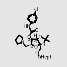 CCCCCCCOC[C@@]12O[C@@H](CN3CCCC3)[C@@H](OC(=O)Nc3ccc(Cl)cc3)[C@@H]1OC(C)(C)O2